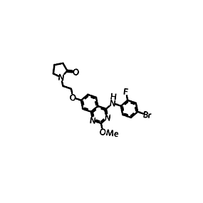 COc1nc(Nc2ccc(Br)cc2F)c2ccc(OCCN3CCCC3=O)cc2n1